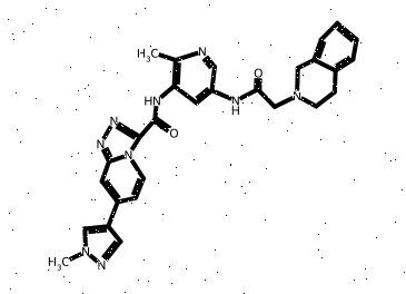 Cc1ncc(NC(=O)CN2CCc3ccccc3C2)cc1NC(=O)c1nnc2cc(-c3cnn(C)c3)ccn12